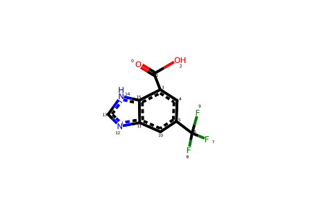 O=C(O)c1cc(C(F)(F)F)cc2nc[nH]c12